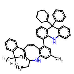 BCC1/C=C(c2ccccc2C(C)(C)C)\C=C/c2c(cc(C)cc2-c2cccc3c2Nc2ccccc2C3(C2=CCCCC2)c2ccccc2)N1